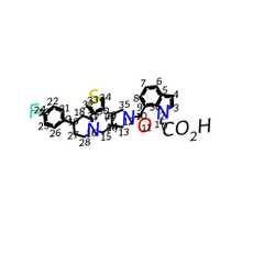 O=C(O)Cn1ccc2cccc(C(=O)N3C[C@@H](CN4CCC(c5ccc(F)cc5)CC4)[C@H](c4ccsc4)C3)c21